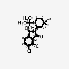 CC(C)(C)N1CCC(F)(F)CC1N1C(=O)c2ccc(Cl)c(Cl)c2C1=O